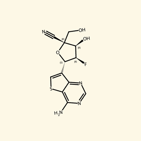 N#C[C@]1(CO)O[C@@H](c2csc3c(N)ncnc23)[C@H](F)[C@@H]1O